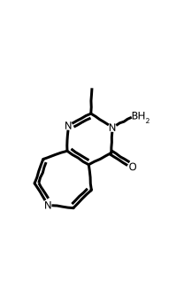 Bn1c(C)nc2c(c1=O)C=CN=C=C2